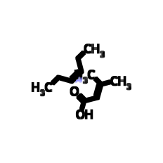 CC(C)=CC(=O)O.CC/C=C\CC